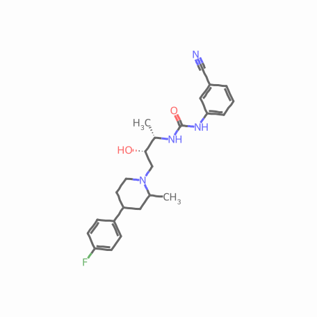 CC1CC(c2ccc(F)cc2)CCN1C[C@H](O)[C@H](C)NC(=O)Nc1cccc(C#N)c1